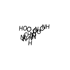 Cc1nccn1CCNc1ncc2c(OC3CCNCC3)ncc([C@H]3CC[C@H](O)CC3)c2n1